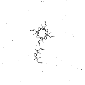 C=C[Si](C)(C)O[Si](C)(C)C=C.C=C[Si]1(C)O[Si](C)(C=C)O[Si](C)(C=C)O[Si](C)(C=C)O1